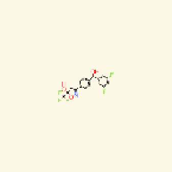 OC(c1ccc(C2=NOC(O)(C(F)(F)F)C2)cc1)c1cc(F)cc(F)c1